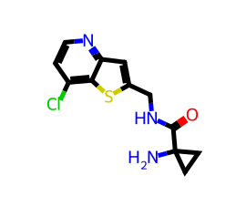 NC1(C(=O)NCc2cc3nccc(Cl)c3s2)CC1